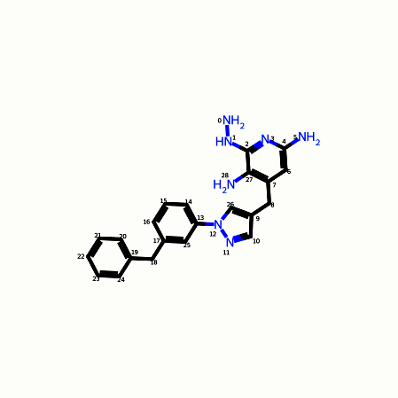 NNc1nc(N)cc(Cc2cnn(-c3cccc(Cc4ccccc4)c3)c2)c1N